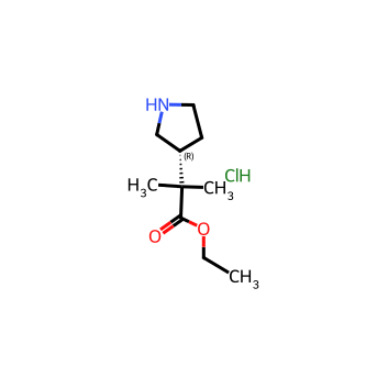 CCOC(=O)C(C)(C)[C@H]1CCNC1.Cl